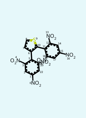 O=[N+]([O-])c1cc([N+](=O)[O-])c(-c2ccsc2-c2c([N+](=O)[O-])cc([N+](=O)[O-])cc2[N+](=O)[O-])c([N+](=O)[O-])c1